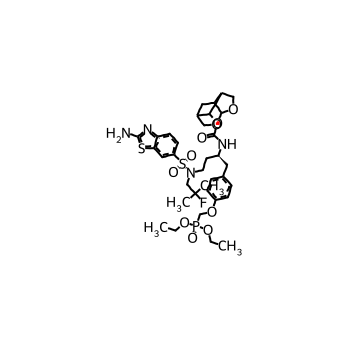 CCOP(=O)(COc1ccc(C[C@@H](CCN(CC(C)(C)F)S(=O)(=O)c2ccc3nc(N)sc3c2)NC(=O)OC2C3COC4OCC2C4C3)cc1)OCC